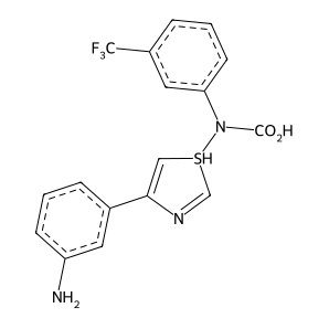 Nc1cccc(C2=C[SH](N(C(=O)O)c3cccc(C(F)(F)F)c3)C=N2)c1